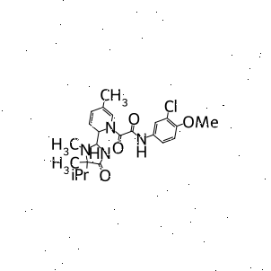 COc1ccc(NC(=O)C(=O)N2C=C(C)C=CC2C2NC(=O)C(C)(C(C)C)N2C)cc1Cl